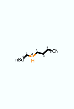 CCCCCPCCCC#N